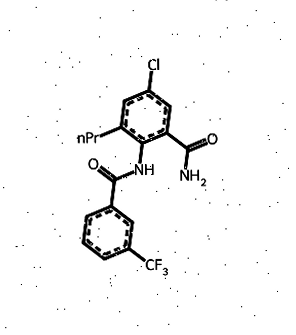 CCCc1cc(Cl)cc(C(N)=O)c1NC(=O)c1cccc(C(F)(F)F)c1